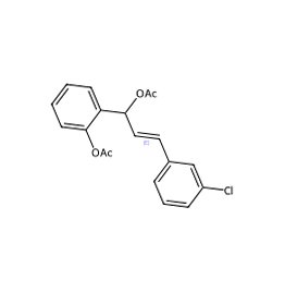 CC(=O)Oc1ccccc1C(/C=C/c1cccc(Cl)c1)OC(C)=O